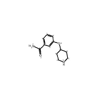 NC(=O)c1cccc(OC2CCNCC2)c1